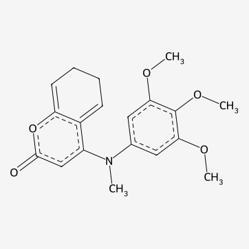 COc1cc(N(C)c2cc(=O)oc3c2=CCCC=3)cc(OC)c1OC